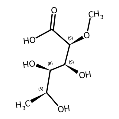 CO[C@H](C(=O)O)[C@@H](O)[C@H](O)[C@H](C)O